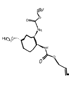 C=CCOC(=O)N[C@H]1CC[C@H](C(=O)O)C[C@H]1NC(=O)OC(C)(C)C